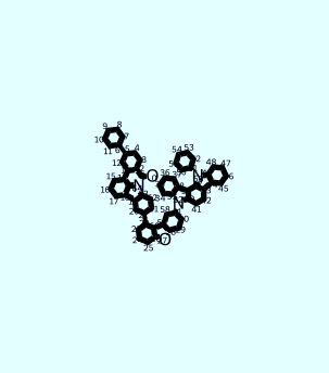 O=c1c2ccc(-c3ccccc3)cc2c2cccc3c4cc(-c5cccc6oc7ccc(-n8c9ccccc9c9c8ccc8c%10ccccc%10n(-c%10ccccc%10)c89)cc7c56)ccc4n1c23